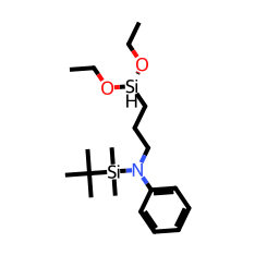 CCO[SiH](CCCN(c1ccccc1)[Si](C)(C)C(C)(C)C)OCC